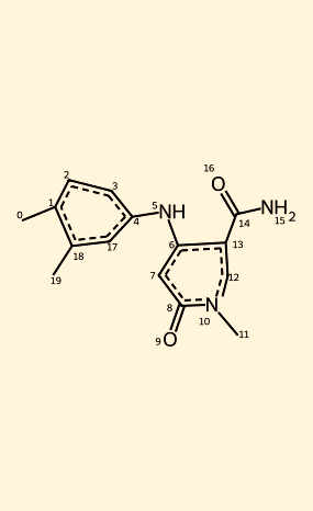 Cc1ccc(Nc2cc(=O)n(C)cc2C(N)=O)cc1C